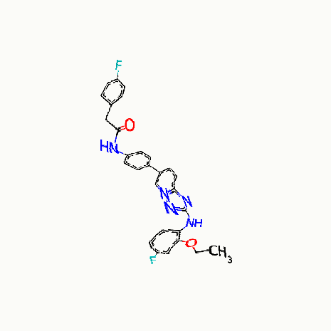 CCOc1cc(F)ccc1Nc1nc2ccc(-c3ccc(NC(=O)Cc4ccc(F)cc4)cc3)cn2n1